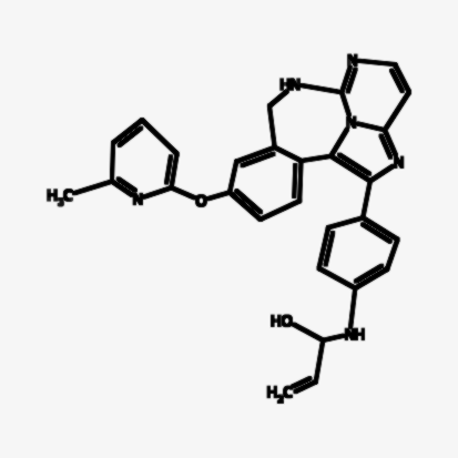 C=CC(O)Nc1ccc(-c2nc3ccnc4n3c2-c2ccc(Oc3cccc(C)n3)cc2CN4)cc1